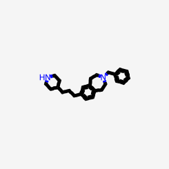 c1ccc(CN2CCc3ccc(CCCC4CCNCC4)cc3CC2)cc1